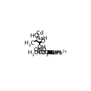 CC(=O)O.CCC(=O)O.Cl.Cl.O=[N+]([O-])[O-].OO.[Cd].[NaH].[NaH].[NaH].[Pb+2]